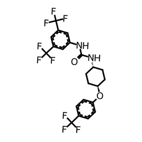 O=C(Nc1cc(C(F)(F)F)cc(C(F)(F)F)c1)N[C@H]1CC[C@H](Oc2ccc(C(F)(F)F)cc2)CC1